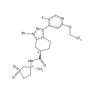 CC(C)n1nc(-c2cc(OCC(F)(F)F)ncc2F)c2c1C[C@H](C(=O)N[C@@]1(C)CCS(=O)(=O)C1)CC2